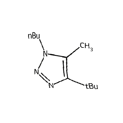 CCCCn1nnc(C(C)(C)C)c1C